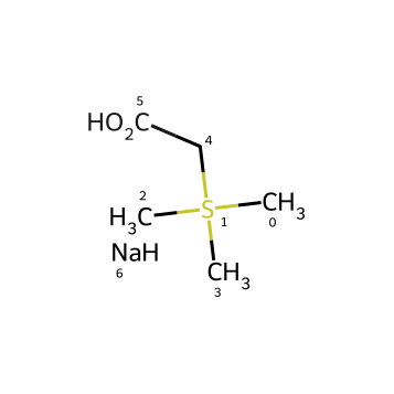 CS(C)(C)CC(=O)O.[NaH]